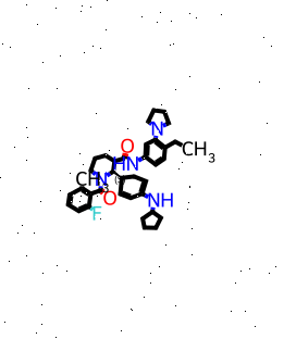 CCc1ccc(NC(=O)C2CCCN(C(=O)c3c(C)cccc3F)C2[C@@H]2C=CC(NC3CCCC3)=CC2)cc1N1CCCC1